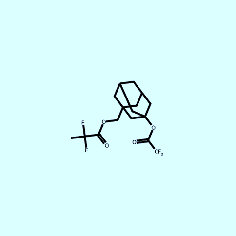 CC(F)(F)C(=O)OCC12CC3CC(C1)CC(OC(=O)C(F)(F)F)(C3)C2